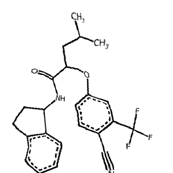 CC(C)CC(Oc1ccc(C#N)c(C(F)(F)F)c1)C(=O)NC1CCc2ccccc21